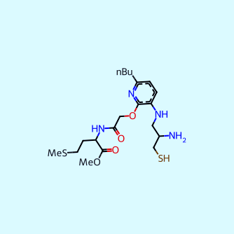 CCCCc1ccc(NCC(N)CS)c(OCC(=O)NC(CCSC)C(=O)OC)n1